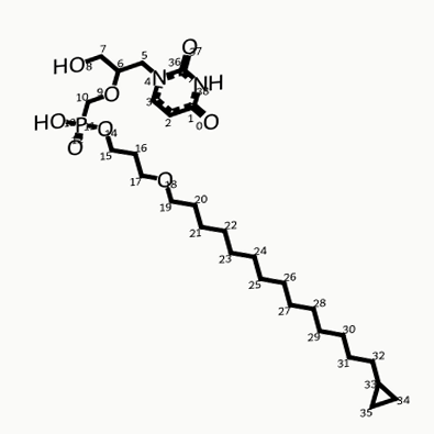 O=c1ccn(CC(CO)OCP(=O)(O)OCCCOCCCCCCCCCCCCCCC2CC2)c(=O)[nH]1